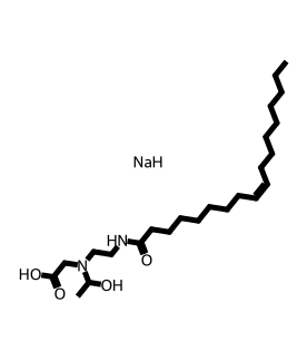 CCCCCCCC/C=C\CCCCCCCC(=O)NCCN(CC(=O)O)C(C)O.[NaH]